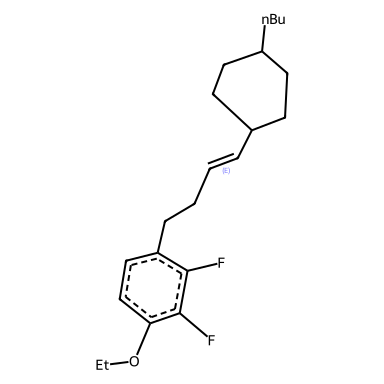 CCCCC1CCC(/C=C/CCc2ccc(OCC)c(F)c2F)CC1